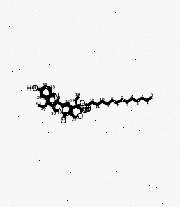 CCCCCCCCCCCCCC(=O)O[C@]1(CC)C(=O)OCc2c1cc1n(c2=O)Cc2c-1nc1ccc(O)cc1c2CC